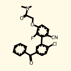 CN(C)C(=O)COc1ccc(C#N)c(-c2cc(C(=O)c3ccccc3)ccc2Cl)c1F